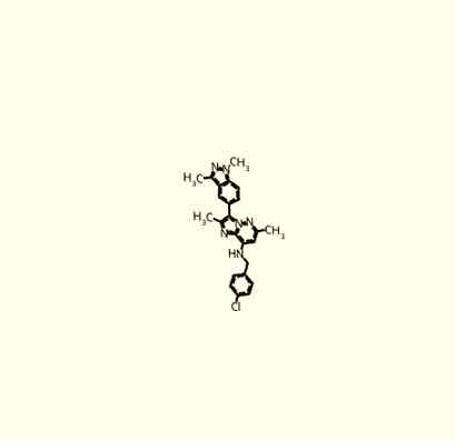 Cc1cc(NCc2ccc(Cl)cc2)c2nc(C)c(-c3ccc4c(c3)c(C)nn4C)n2n1